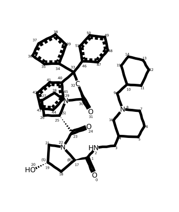 O=C(NCC1CCCN(CC2CCCCC2)C1)[C@H]1C[C@H](O)CN1C(=O)[C@@H]1CCCN1C(=O)CC(c1ccccc1)(c1ccccc1)c1ccccc1